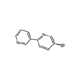 Brc1ccc(-c2cccnc2)nc1